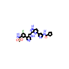 CS(=O)(=O)C(N)c1cc(F)cc(-c2cncc3[nH]c(-c4n[nH]c5ccc(-c6cncc(NC(=O)C7CCCC7)c6)nc45)cc23)c1